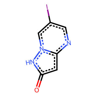 O=c1cc2ncc(I)cn2[nH]1